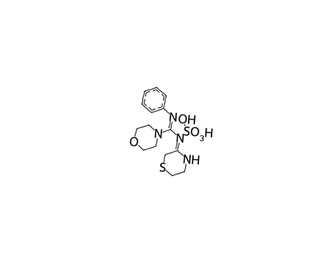 O=S(=O)(O)O.c1ccc(N=C(N=C2CSCCN2)N2CCOCC2)cc1